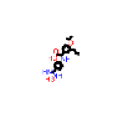 C=CCc1cc(C(Nc2ccc(C(=N)NO)cc2)C(=O)O)ccc1OC(C)C